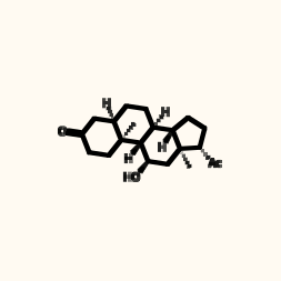 CC(=O)[C@H]1CC[C@H]2[C@@H]3CC[C@@H]4CC(=O)CC[C@]4(C)[C@H]3[C@H](O)C[C@]12C